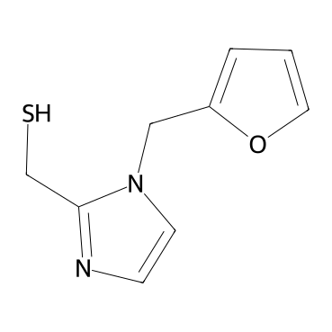 SCc1nccn1Cc1ccco1